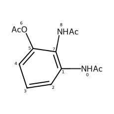 CC(=O)Nc1cccc(OC(C)=O)c1NC(C)=O